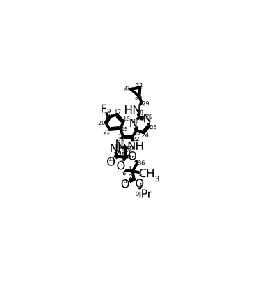 CC(C)OC(=O)C1(C)COC(C(N)=O)(c2nc(-c3ccc(F)cc3)c(-c3ccnc(NCC4CC4)n3)[nH]2)OC1